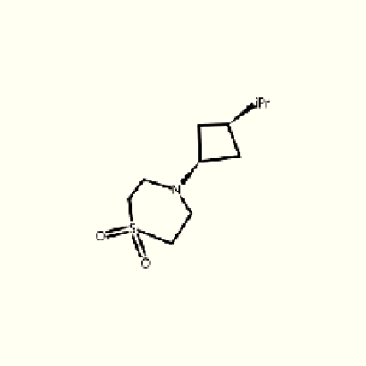 CC(C)[C@H]1C[C@@H](N2CCS(=O)(=O)CC2)C1